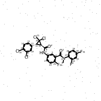 CN(C(=O)c1cc(NC(=O)[C@H]2[C@H](c3ccc(Cl)c(Cl)c3)C2(Cl)Cl)ccc1F)c1ccc(F)cc1F